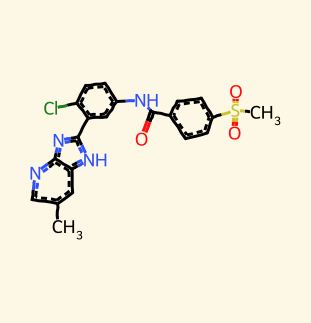 Cc1cnc2nc(-c3cc(NC(=O)c4ccc(S(C)(=O)=O)cc4)ccc3Cl)[nH]c2c1